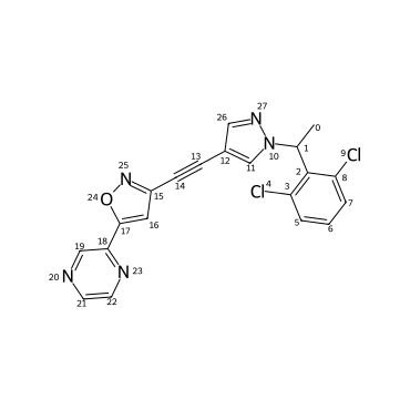 CC(c1c(Cl)cccc1Cl)n1cc(C#Cc2cc(-c3cnccn3)on2)cn1